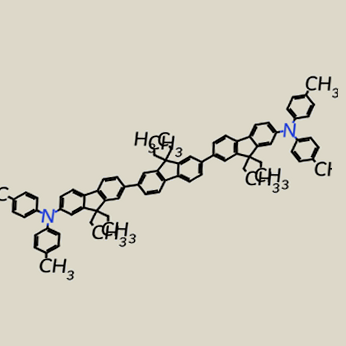 CCC1(CC)c2cc(-c3ccc4c(c3)C(CC)(CC)c3cc(N(c5ccc(C)cc5)c5ccc(C)cc5)ccc3-4)ccc2-c2ccc(-c3ccc4c(c3)C(CC)(CC)c3cc(N(c5ccc(C)cc5)c5ccc(C)cc5)ccc3-4)cc21